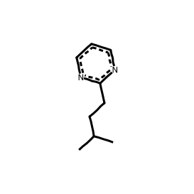 CC(C)CCc1ncccn1